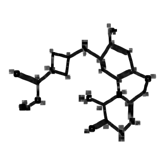 CC(C)c1cc2c(cc1NC1CN(C(=O)OC(C)(C)C)C1)N1C(=NNC(=O)C1C)CO2